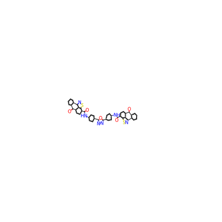 O=C(Nc1ccc(-c2nnc(-c3ccc(NC(=O)c4ccc5c6c(nsc46)-c4ccccc4C5=O)cc3)o2)cc1)c1ccc2c3c(nsc13)-c1ccccc1C2=O